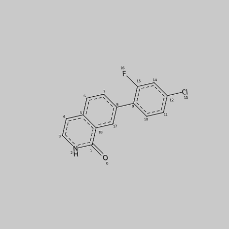 O=c1[nH]ccc2ccc(-c3ccc(Cl)cc3F)cc12